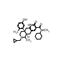 Cc1ccc(O)cc1[C@]12CCN(CC3CC3)C(C)[C@@H]1Cc1cc(C(=O)N(C)C3CCCCC3)c(=O)[nH]c1C2